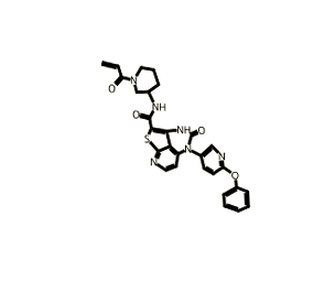 C=CC(=O)N1CCCC(NC(=O)c2sc3nccc4c3c2NC(=O)N4c2ccc(Oc3ccccc3)nc2)C1